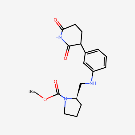 CC(C)(C)OC(=O)N1CCC[C@@H]1CNc1cccc(C2CCC(=O)NC2=O)c1